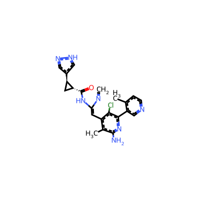 C=N/C(=C\c1c(C)c(N)nc(-c2cnccc2C)c1Cl)NC(=O)[C@@H]1C[C@H]1c1cn[nH]c1